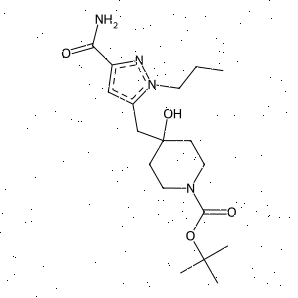 CCCn1nc(C(N)=O)cc1CC1(O)CCN(C(=O)OC(C)(C)C)CC1